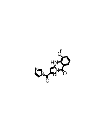 COc1cccc2c(=O)n3nc(C(=O)n4ccnc4)cc3[nH]c12